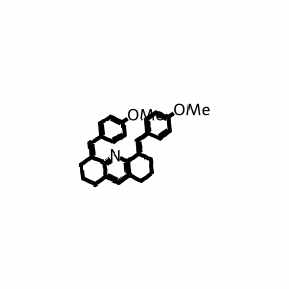 COc1ccc(/C=C2/CCCc3cc4c(nc32)/C(=C/c2ccc(OC)cc2)CCC4)cc1